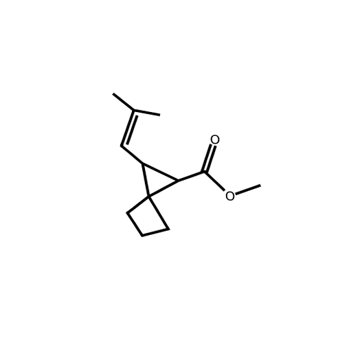 COC(=O)C1C(C=C(C)C)C12CCC2